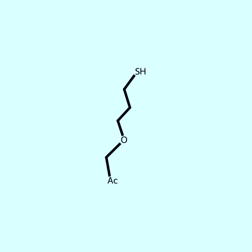 CC(=O)COCCCS